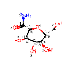 NC(=O)[C@@H]1O[C@H](CO)[C@@H](O)[C@H](O)[C@H]1O